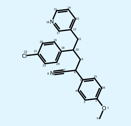 COc1ccc(C(C#N)CC(Cc2cccnc2)c2ccc(Cl)cc2)cc1